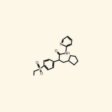 CCS(=O)(=O)c1ccc(C(CC2CCCC2)C(=O)Nc2ccccn2)cc1